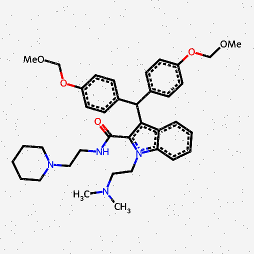 COCOc1ccc(C(c2ccc(OCOC)cc2)c2c(C(=O)NCCN3CCCCC3)n(CCN(C)C)c3ccccc23)cc1